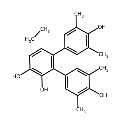 CC.Cc1cc(-c2ccc(O)c(O)c2-c2cc(C)c(O)c(C)c2)cc(C)c1O